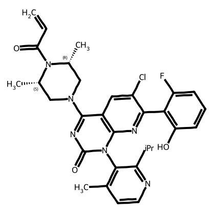 C=CC(=O)N1[C@H](C)CN(c2nc(=O)n(-c3c(C)ccnc3C(C)C)c3nc(-c4c(O)cccc4F)c(Cl)cc23)C[C@@H]1C